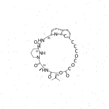 CC(C)[C@@H]1OC(=O)COCOCCCc2ccc3ccc(nc3c2)[C@@H](C)NC(=O)[C@@H]2CCCN(N2)C(=O)[C@H](C)NC1=O